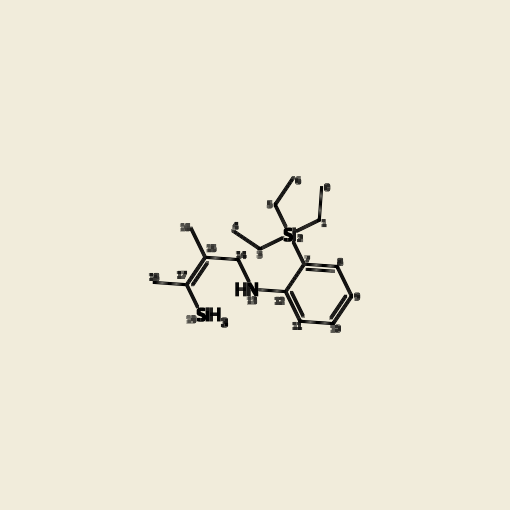 CC[Si](CC)(CC)c1ccccc1NCC(C)=C(C)[SiH3]